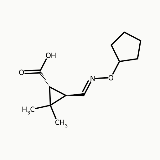 CC1(C)[C@H](C=NOC2CCCC2)[C@H]1C(=O)O